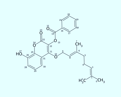 CC(C)=CCC/C(C)=C/COc1c(OC(=O)c2ccccc2)c(=O)oc2c(O)cccc12